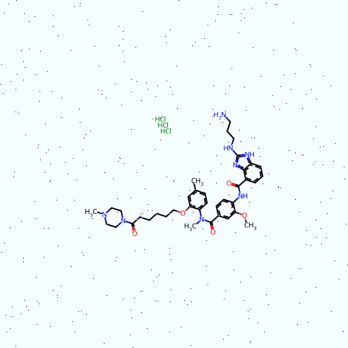 COc1cc(C(=O)N(C)c2ccc(C)cc2OCCCCCC(=O)N2CCN(C)CC2)ccc1NC(=O)c1cccc2[nH]c(NCCCN)nc12.Cl.Cl.Cl